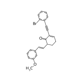 COc1cccc(/C=C/C2CCC=C(C#Cc3ccccc3Br)C2=O)c1